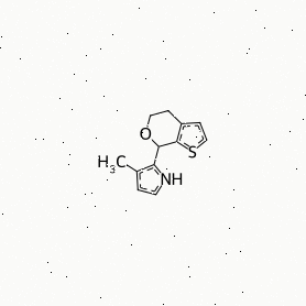 Cc1cc[nH]c1C1OCCc2ccsc21